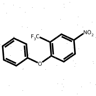 O=[N+]([O-])c1ccc(Oc2c[c]ccc2)c(C(F)(F)F)c1